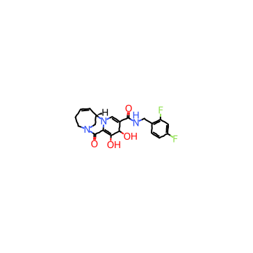 O=C(NCc1ccc(F)cc1F)C1=CN2C(=C(O)C1O)C(=O)N1CCC=C[C@H]2C1